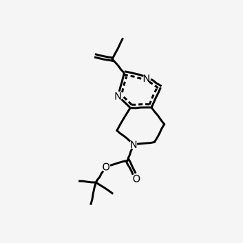 C=C(C)c1ncc2c(n1)CN(C(=O)OC(C)(C)C)CC2